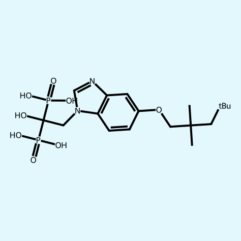 CC(C)(C)CC(C)(C)COc1ccc2c(c1)ncn2CC(O)(P(=O)(O)O)P(=O)(O)O